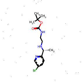 C[C@@H](NCCNC(=O)OC(C)(C)C)c1ccc(Br)cn1